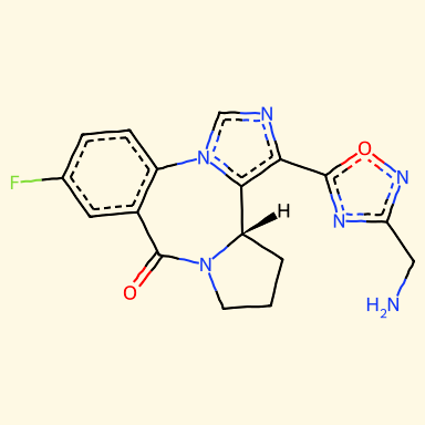 NCc1noc(-c2ncn3c2[C@@H]2CCCN2C(=O)c2cc(F)ccc2-3)n1